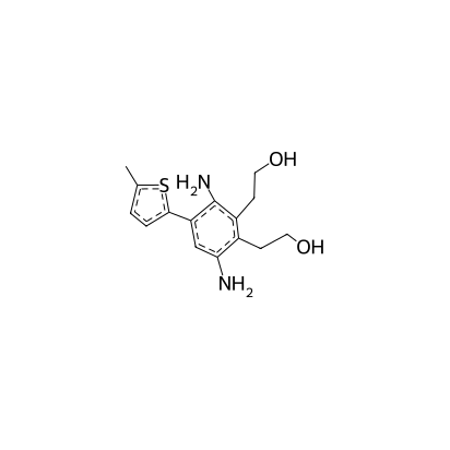 Cc1ccc(-c2cc(N)c(CCO)c(CCO)c2N)s1